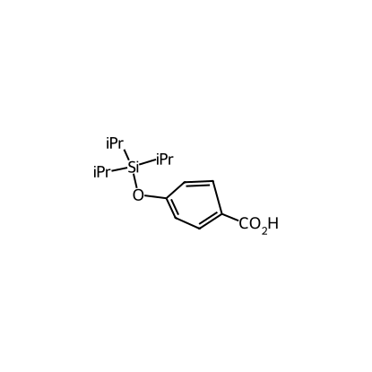 CC(C)[Si](Oc1ccc(C(=O)O)cc1)(C(C)C)C(C)C